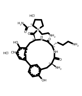 Cl.Cl.Cl.NCCC[C@@H]1NC(=O)[C@@H](N)Cc2cc(ccc2O)-c2ccc(O)c(c2)C[C@@H](C(=O)[N+]2(CCN)CCC[C@H]2C(N)=O)NC1=O